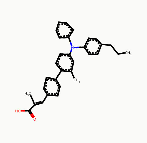 CCCc1ccc(N(c2ccccc2)c2ccc(-c3ccc(/C=C(\C)C(=O)O)cc3)c(C)c2)cc1